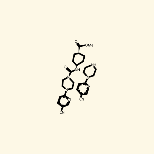 COC(=O)[C@H]1CC[C@H](NC(=O)N2CCN(c3ccc(C#N)cn3)CC2)CC1.N#Cc1ccc(N2CCNCC2)nc1